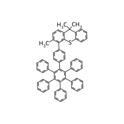 Cc1ccc2c(c1-c1ccc(-c3c(-c4ccccc4)c(-c4ccccc4)c(-c4ccccc4)c(-c4ccccc4)c3-c3ccccc3)cc1)Sc1ccccc1C2(C)C